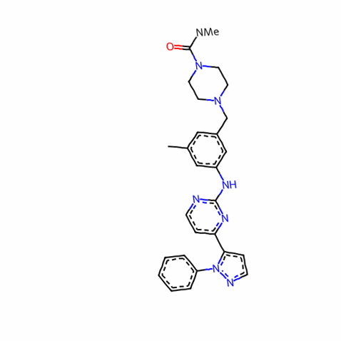 CNC(=O)N1CCN(Cc2cc(C)cc(Nc3nccc(-c4ccnn4-c4ccccc4)n3)c2)CC1